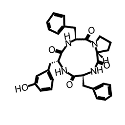 O=C1N[C@H](Cc2cccc(O)c2)C(=O)N[C@@H](Cc2ccccc2)C(=O)N2CCC[C@@H]2C(=O)N[C@H]1Cc1ccccc1